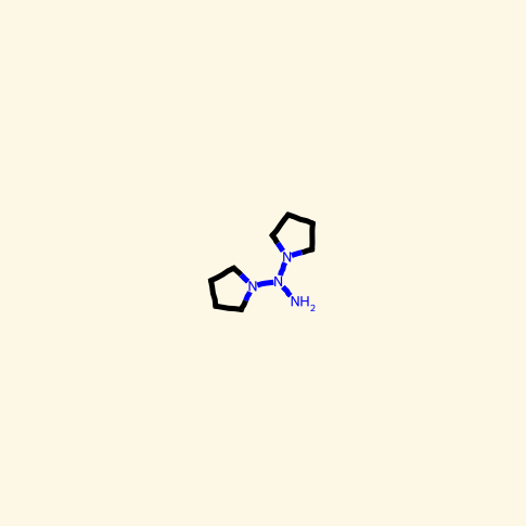 NN(N1CCCC1)N1CCCC1